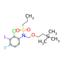 CCCS(=O)(=O)N(COCC[Si](C)(C)C)c1ccc(F)c(I)c1Cl